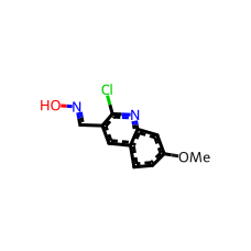 COc1ccc2cc(C=NO)c(Cl)nc2c1